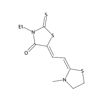 CCN1C(=O)C(=CC=C2SCCN2C)SC1=S